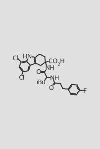 CCC(C)C(NC(=O)CCc1ccc(F)cc1)C(=O)NC1(C(=O)O)CCc2[nH]c3c(Cl)cc(Cl)cc3c2C1